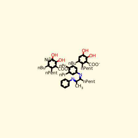 CCCCCC(=Nc1ccc(CCC)c(CCC)c1)C(C)=Nc1ccccc1.CCCCCc1c(CCCC)cc(O)c(O)c1C(=O)[O-].CCCCCc1c(CCCC)cc(O)c(O)c1C(=O)[O-].[Ni+2]